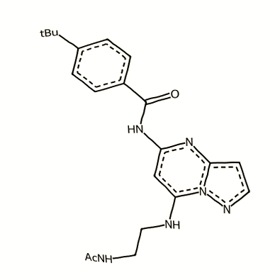 CC(=O)NCCNc1cc(NC(=O)c2ccc(C(C)(C)C)cc2)nc2ccnn12